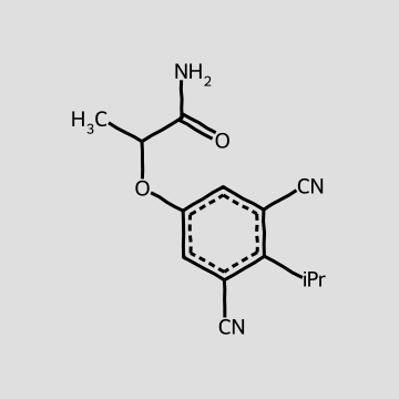 CC(Oc1cc(C#N)c(C(C)C)c(C#N)c1)C(N)=O